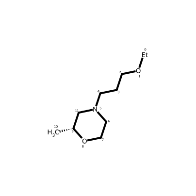 CCOCCCN1CCO[C@H](C)C1